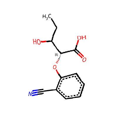 CCC(O)[C@@H](Oc1ccccc1C#N)C(=O)O